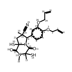 C=CCOc1ccc(C2N3C(=O)C(C)(S)N(C)C(=O)C3(S)C[C@]2(C)C#N)cc1OCC=C